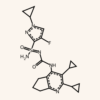 NS(=O)(=NC(=O)Nc1c2c(nc(C3CC3)c1C1CC1)CCC2)c1nn(C2CC2)cc1F